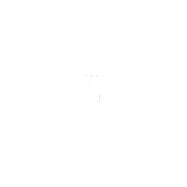 CCCCCCC(C)(C)c1ccc(F)cn1